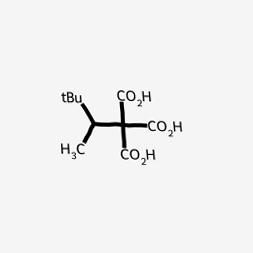 CC(C(C)(C)C)C(C(=O)O)(C(=O)O)C(=O)O